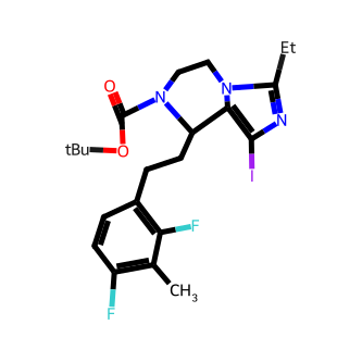 CCc1nc(I)c2n1CCN(C(=O)OC(C)(C)C)C2CCc1ccc(F)c(C)c1F